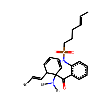 C/C=C/CCCS(=O)(=O)Nc1ccccc1C(=O)C1(N(CC)CC)C=CC=CC1/C=C/C#N